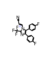 N#C/C=C/n1c(C(F)(F)F)nc(-c2ccc(F)cc2)c1-c1ccc(F)cc1